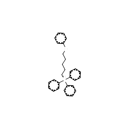 c1ccc(OCCCCC[PH](c2ccccc2)(c2ccccc2)c2ccccc2)cc1